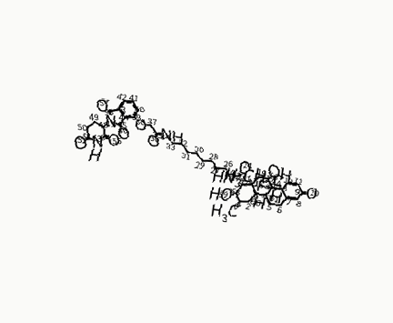 C[C@@H]1C[C@H]2[C@@H]3CCC4=CC(=O)C=C[C@]4(C)[C@@]3(F)[C@@H](O)C[C@]2(C)[C@@H](C(=O)NCCCCCCCCNC(=O)COc2cccc3c2C(=O)N(C2CCC(=O)NC2=O)C3=O)[C@@H]1O